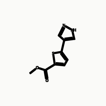 COC(=O)c1ccc(-c2cn[nH]c2)s1